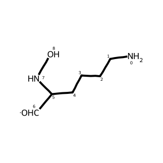 NCCCCC([C]=O)NO